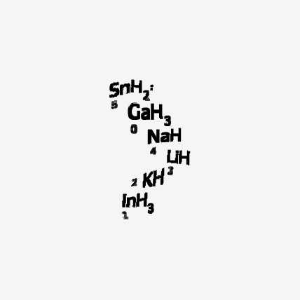 [GaH3].[InH3].[KH].[LiH].[NaH].[SnH2]